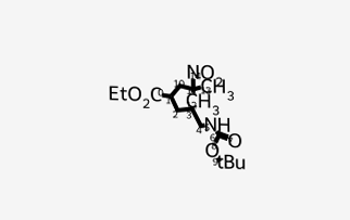 CCOC(=O)C(CCCNC(=O)OC(C)(C)C)CC(C)(C)[N+](=O)[O-]